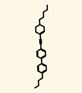 CCCCCC1CC=C(C#Cc2ccc(-c3ccc(CCCC)cc3)cc2)CC1